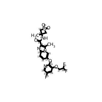 Cc1c(C(=O)NC2(C)CS(=O)(=O)C2)nc2ccc(Oc3ncc(F)cc3OCC(F)F)cn12